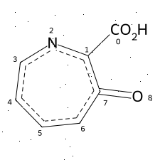 O=C(O)c1nccccc1=O